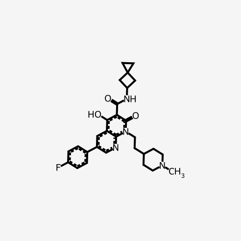 CN1CCC(CCn2c(=O)c(C(=O)NC3CC4(CC4)C3)c(O)c3cc(-c4ccc(F)cc4)cnc32)CC1